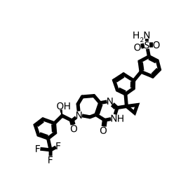 NS(=O)(=O)c1cccc(-c2cccc(C3(c4nc5c(c(=O)[nH]4)CN(C(=O)[C@H](O)c4cccc(C(F)(F)F)c4)CCC5)CC3)c2)c1